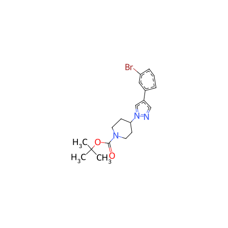 CC(C)(C)OC(=O)N1CCC(n2cc(-c3cccc(Br)c3)cn2)CC1